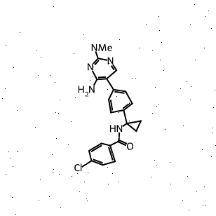 CNc1ncc(-c2ccc(C3(NC(=O)c4ccc(Cl)cc4)CC3)cc2)c(N)n1